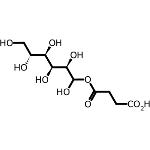 O=C(O)CCC(=O)OC(O)[C@H](O)[C@@H](O)[C@H](O)[C@H](O)CO